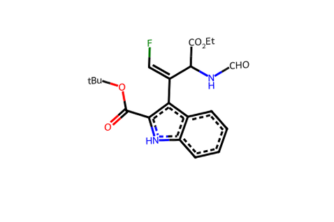 CCOC(=O)C(NC=O)C(=CF)c1c(C(=O)OC(C)(C)C)[nH]c2ccccc12